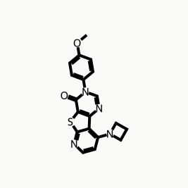 COc1ccc(-n2cnc3c(sc4nccc(N5CCC5)c43)c2=O)cc1